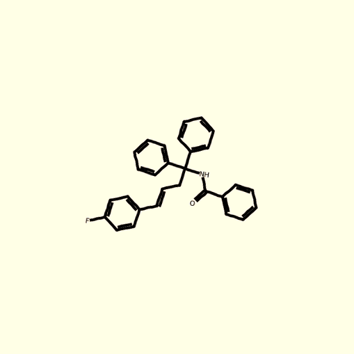 O=C(NC(CC=Cc1ccc(F)cc1)(c1ccccc1)c1ccccc1)c1ccccc1